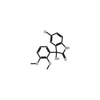 COc1cccc(C2(O)C(=O)Nc3ccc(Cl)cc32)c1OC